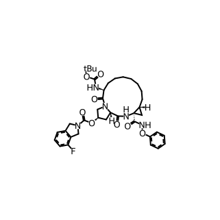 CC(C)(C)OC(=O)N[C@H]1CCCCCCC[C@@H]2C[C@@]2(C(=O)NOc2ccccc2)NC(=O)[C@@H]2C[C@@H](OC(=O)N3Cc4cccc(F)c4C3)CN2C1=O